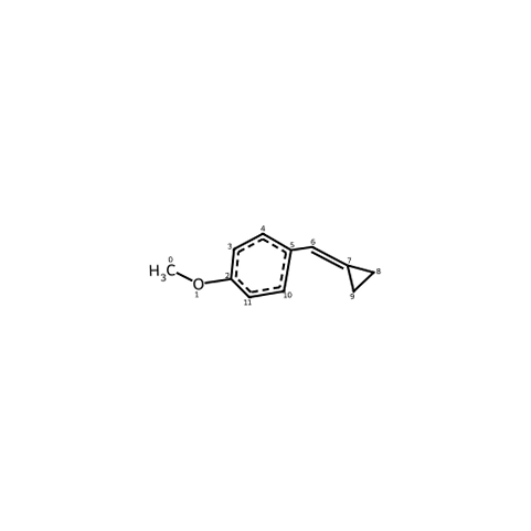 COc1ccc(C=C2CC2)cc1